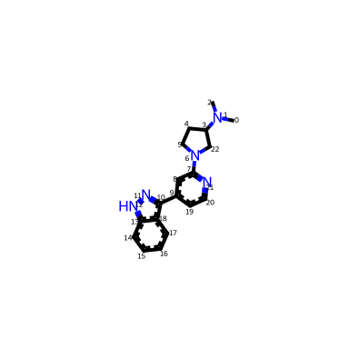 CN(C)C1CCN(c2cc(-c3n[nH]c4ccccc34)ccn2)C1